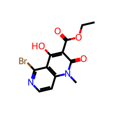 CCOC(=O)c1c(O)c2c(Br)nccc2n(C)c1=O